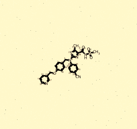 Cc1sc(N(Cc2ccc(OCc3cccnc3)cc2)c2ccc(C#N)cc2)nc1C(=O)NS(C)(=O)=O